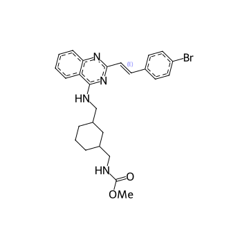 COC(=O)NCC1CCCC(CNc2nc(/C=C/c3ccc(Br)cc3)nc3ccccc23)C1